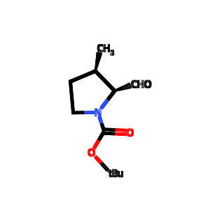 C[C@@H]1CCN(C(=O)OC(C)(C)C)[C@@H]1C=O